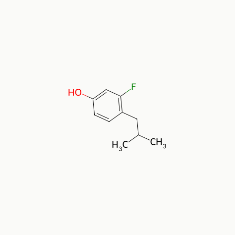 CC(C)Cc1ccc(O)cc1F